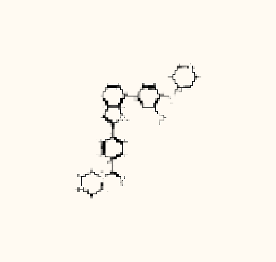 N#Cc1cc(-c2ccnc3cc(-c4ccc(C(=O)N5CCNCC5)cc4)oc23)ccc1OC1CCOCC1